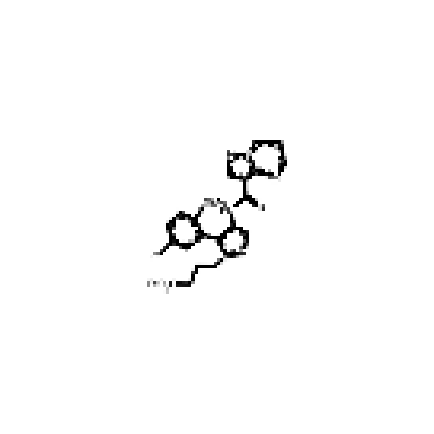 CCOC(=O)CCCn1ncc(NC(=O)c2cnn3cccnc23)c1-c1cc(Cl)ccc1OC